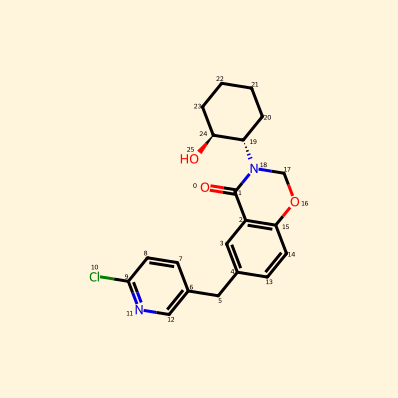 O=C1c2cc(Cc3ccc(Cl)nc3)ccc2OCN1[C@H]1CCCC[C@@H]1O